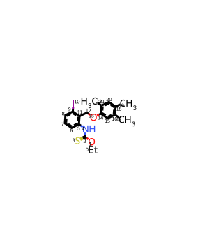 CCOC(=S)Nc1cccc(I)c1COc1cc(C)c(C)cc1C